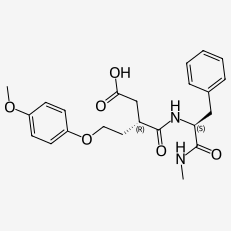 CNC(=O)[C@H](Cc1ccccc1)NC(=O)[C@H](CCOc1ccc(OC)cc1)CC(=O)O